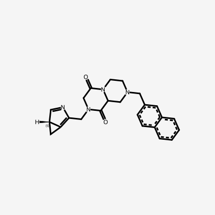 O=C1C2CN(Cc3ccc4ccccc4c3)CCN2C(=O)CN1CC1=C2C[C@@H]2C=N1